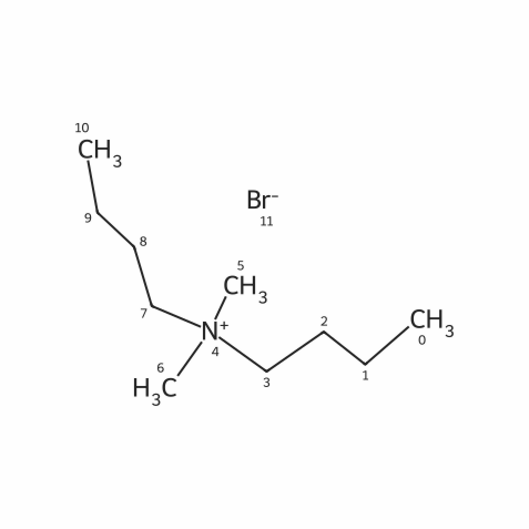 CCCC[N+](C)(C)CCCC.[Br-]